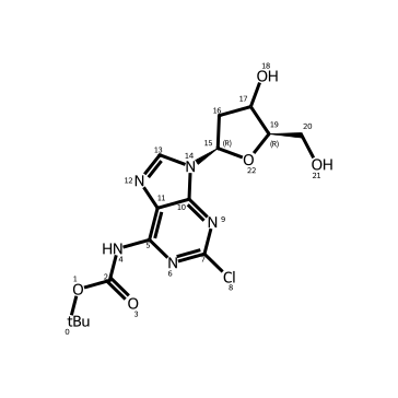 CC(C)(C)OC(=O)Nc1nc(Cl)nc2c1ncn2[C@H]1CC(O)[C@@H](CO)O1